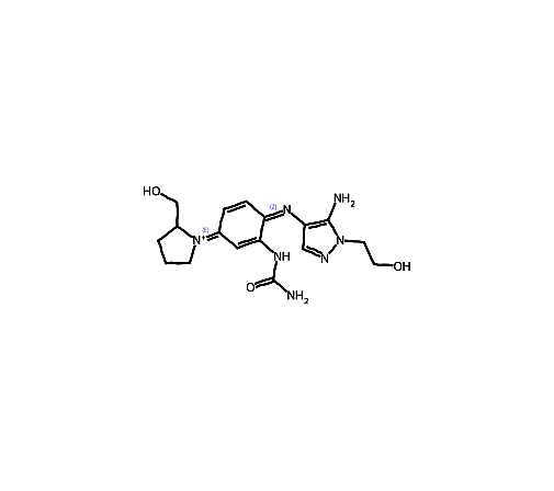 NC(=O)NC1=CC(=[N+]2\CCCC2CO)/C=CC/1=N/c1cnn(CCO)c1N